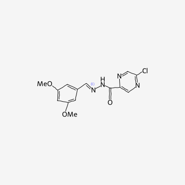 COc1cc(/C=N/NC(=O)c2cnc(Cl)cn2)cc(OC)c1